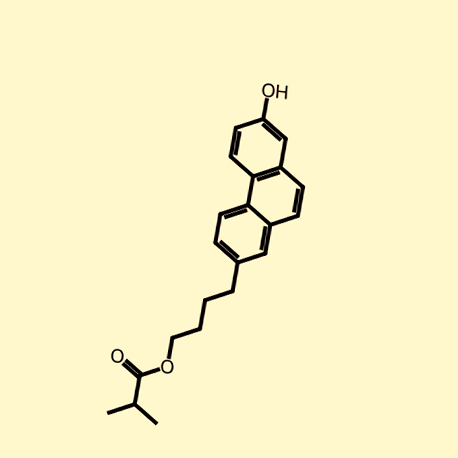 CC(C)C(=O)OCCCCc1ccc2c(ccc3cc(O)ccc32)c1